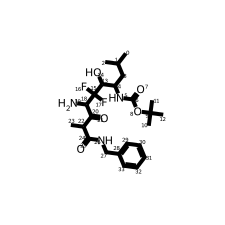 CC(C)CC(NC(=O)OC(C)(C)C)C(O)C(F)(F)C(N)C(=O)C(C)C(=O)NCc1ccccc1